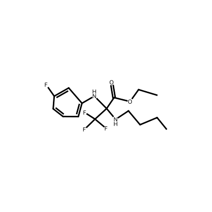 CCCCNC(Nc1cccc(F)c1)(C(=O)OCC)C(F)(F)F